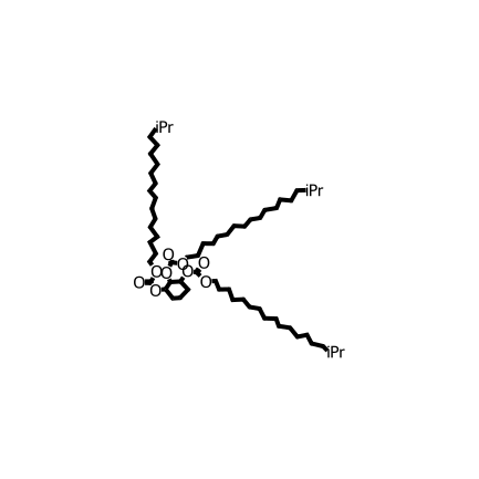 CC(C)CCCCCCCCCCCCCCCOC(=O)OC1CCCC(OC(=O)OCCCCCCCCCCCCCCCC(C)C)C1OC(=O)OCCCCCCCCCCCCCCCC(C)C